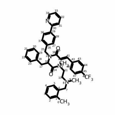 Cc1ccccc1CN(C)CCN(C)C(=O)C(Cc1ccccc1)N(Cc1ccc(-c2ccccn2)cc1)C(=O)C=Cc1ccc(C(F)(F)F)cc1